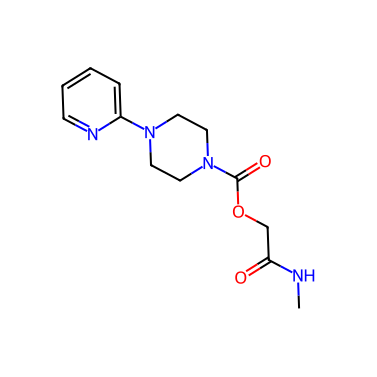 CNC(=O)COC(=O)N1CCN(c2ccccn2)CC1